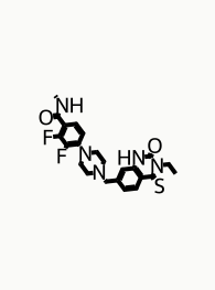 CCn1c(=O)[nH]c2cc(CN3CCN(c4ccc(C(=O)NC)c(F)c4F)CC3)ccc2c1=S